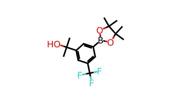 CC(C)(O)c1cc(B2OC(C)(C)C(C)(C)O2)cc(C(F)(F)F)c1